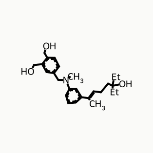 CCC(O)(CC)CCC=C(C)c1cccc(N(C)Cc2ccc(CO)c(CO)c2)c1